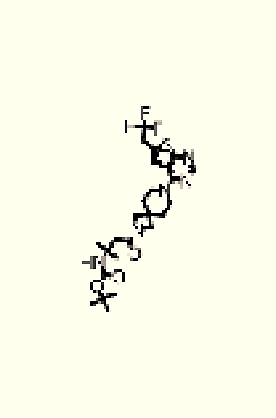 CC(C)(CC(=O)N1CC2(CCN(c3ncnc4sc(CC(F)(F)F)cc34)CC2)C1)NC(=O)OC(C)(C)C